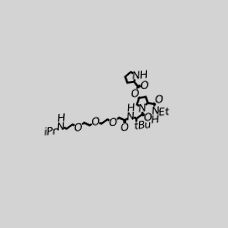 CCNC(=O)C1CC(OC(=O)C2CCCN2)CN1C(=O)C(NC(=O)COCCOCCOCCNC(C)C)C(C)(C)C